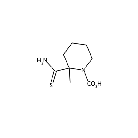 CC1(C(N)=S)CCCCN1C(=O)O